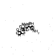 C=CC1=C(C(=O)[O-])N2C(=O)C(NC(=O)C(=NO)c3csc(N)n3)[C@@H]2SC1.[Na+]